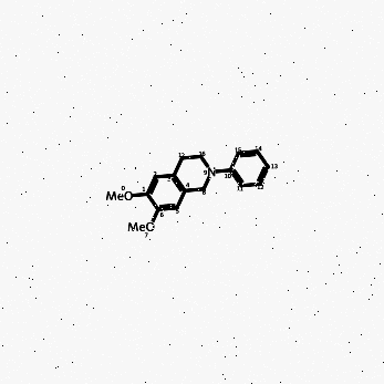 COc1cc2c(cc1OC)CN(c1ccccc1)CC2